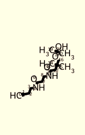 C#CCCNC(=O)CCNC(=O)CC(C)(C)COC(C)(C)O